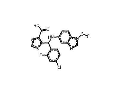 O=C(O)c1ncsc1C(Nc1ccc2c(c1)ncn2SF)c1ccc(Cl)cc1F